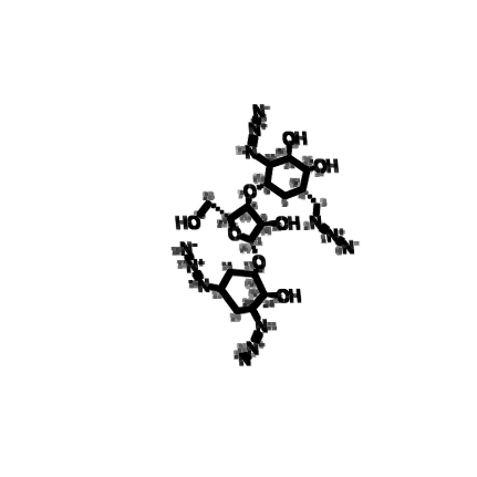 [N-]=[N+]=NC[C@@H]1C[C@H](O[C@H]2[C@@H](O)[C@H](O[C@H]3CC(N=[N+]=[N-])CC(N=[N+]=[N-])[C@@H]3O)O[C@@H]2CO)C(N=[N+]=[N-])[C@@H](O)[C@@H]1O